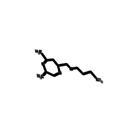 CCCCOCC1CC(C)OC(C)CO1